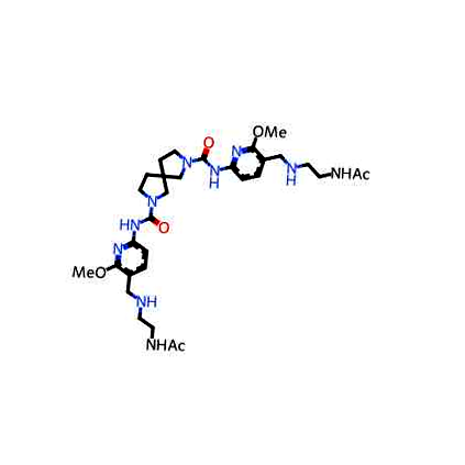 COc1nc(NC(=O)N2CCC3(CCN(C(=O)Nc4ccc(CNCCNC(C)=O)c(OC)n4)C3)C2)ccc1CNCCNC(C)=O